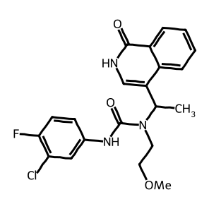 COCCN(C(=O)Nc1ccc(F)c(Cl)c1)C(C)c1c[nH]c(=O)c2ccccc12